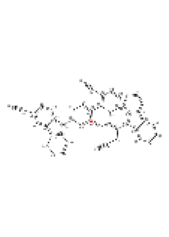 C/C=C\C(=C(/CC#N)n1c2ccccc2c2ccccc21)C1CC=CC(C#N)=C1C1=CCC(n2c3c(c4cc(C#N)ccc42)CCC=C3)C=C1